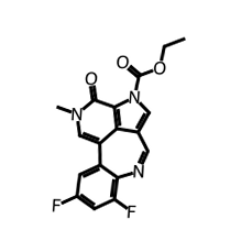 CCOC(=O)n1cc2c3c(cn(C)c(=O)c31)-c1cc(F)cc(F)c1N=C2